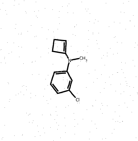 CN(C1=CCC1)c1cccc(Cl)c1